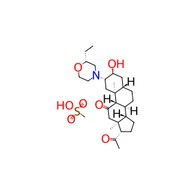 CC[C@@H]1CN([C@H]2C[C@@]3(C)[C@@H](CC[C@H]4[C@@H]5CC[C@H](C(C)=O)[C@@]5(C)CC(=O)[C@@H]43)C[C@@H]2O)CCO1.CS(=O)(=O)O